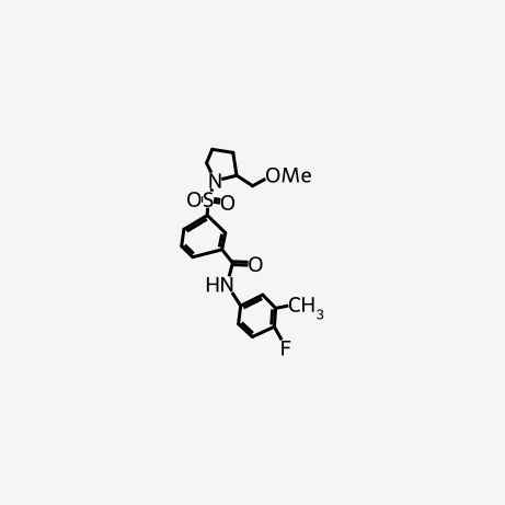 COCC1CCCN1S(=O)(=O)c1cccc(C(=O)Nc2ccc(F)c(C)c2)c1